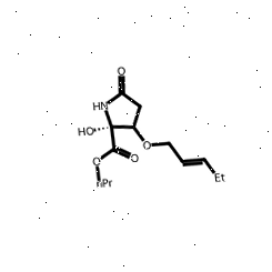 CCC=CCOC1CC(=O)N[C@]1(O)C(=O)OCCC